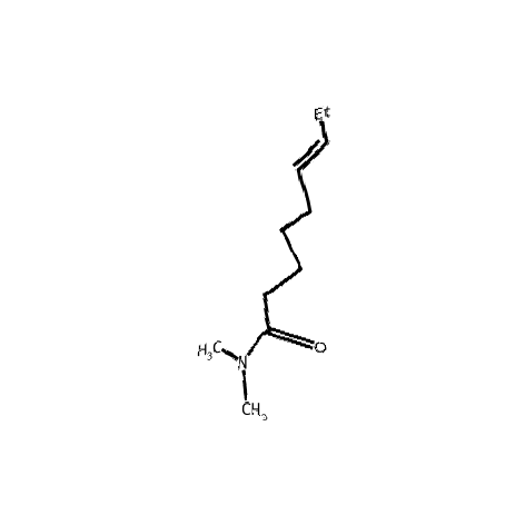 CCC=CCCCCC(=O)N(C)C